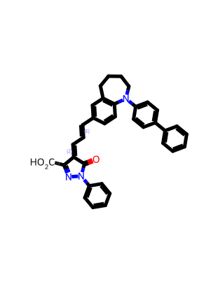 O=C(O)C1=NN(c2ccccc2)C(=O)/C1=C\C=C\c1ccc2c(c1)CCCCN2c1ccc(-c2ccccc2)cc1